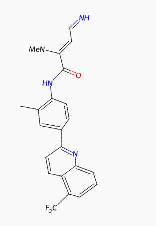 CN/C(=C\C=N)C(=O)Nc1ccc(-c2ccc3c(C(F)(F)F)cccc3n2)cc1C